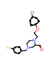 O=CC1CN(Cc2ccc(F)cc2)CCN1CCOc1ccc(Cl)cc1